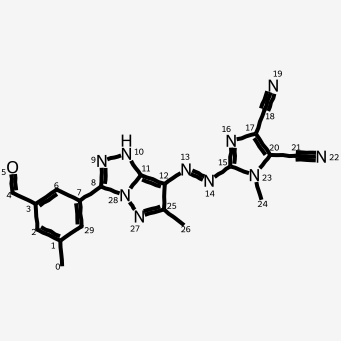 Cc1cc(C=O)cc(-c2n[nH]c3c(N=Nc4nc(C#N)c(C#N)n4C)c(C)nn23)c1